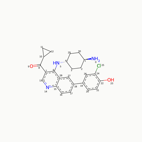 N[C@H]1CC[C@H](Nc2c(C(=O)C3CC3)cnc3ccc(-c4ccc(O)c(Cl)c4)cc23)CC1